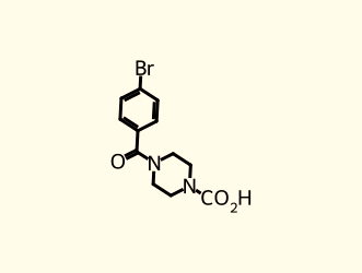 O=C(O)N1CCN(C(=O)c2ccc(Br)cc2)CC1